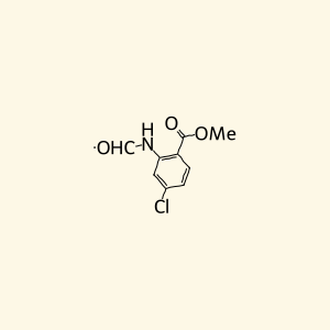 COC(=O)c1ccc(Cl)cc1N[C]=O